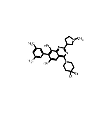 CCCc1cc2c(N3CCC(CC)(CC)CC3)nc(C3CCN(C)C3)nc2c(CCC)c1-c1cc(C)cc(C)c1